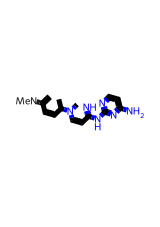 C=C(/C=C\C(C)N(C)/C=C\C(=N)Nc1nccc(N)n1)NC